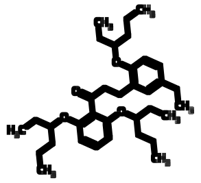 CCCC(CC)Oc1ccc(CC)cc1CCC(=O)c1c(OC(CC)CCC)cccc1OC(CC)CCC